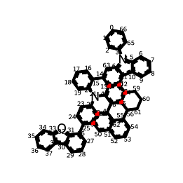 c1ccc(-n2c3ccccc3c3ccc(-c4ccccc4N(c4ccc(-c5cccc6c5oc5ccccc56)cc4)c4ccccc4-c4cccc5cccc(C6CCCCC6)c45)cc32)cc1